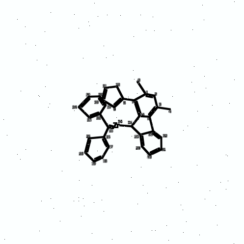 Cc1cc(C)c2c(c1C1=CC=CC1)[CH]([Zr]=[C](c1ccccc1)c1ccccc1)c1ccccc1-2